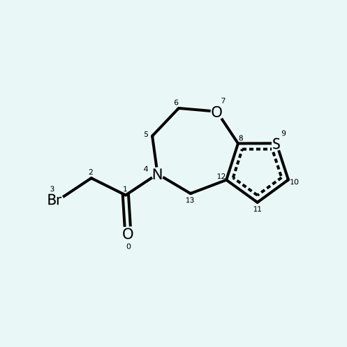 O=C(CBr)N1CCOc2sccc2C1